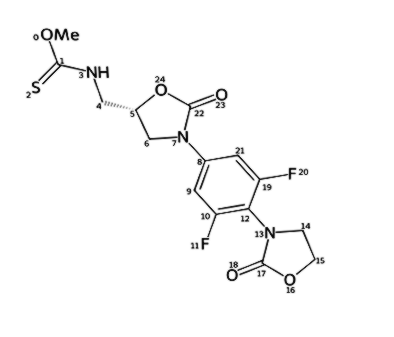 COC(=S)NC[C@H]1CN(c2cc(F)c(N3CCOC3=O)c(F)c2)C(=O)O1